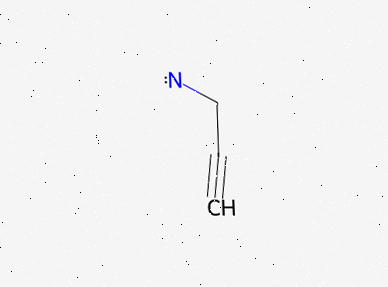 C#CC[N]